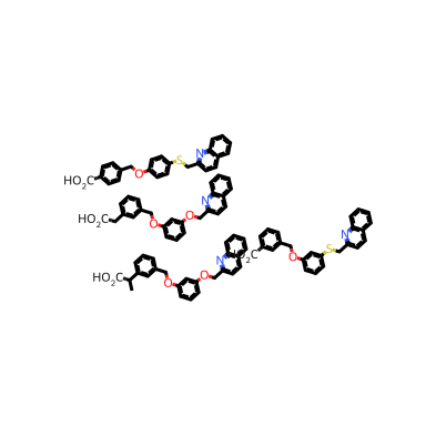 CC(C(=O)O)c1cccc(COc2cccc(OCc3ccc4ccccc4n3)c2)c1.O=C(O)Cc1cccc(COc2cccc(OCc3ccc4ccccc4n3)c2)c1.O=C(O)c1ccc(COc2ccc(SCc3ccc4ccccc4n3)cc2)cc1.O=C(O)c1cccc(COc2cccc(SCc3ccc4ccccc4n3)c2)c1